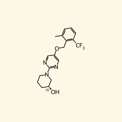 Cc1cccc(C(F)(F)F)c1COc1cnc(N2CCC[C@H](O)C2)nc1